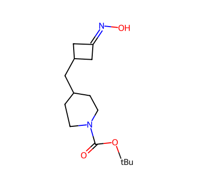 CC(C)(C)OC(=O)N1CCC(CC2CC(=NO)C2)CC1